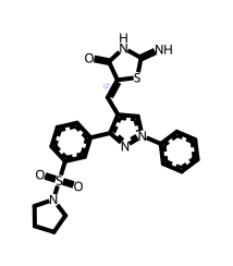 N=C1NC(=O)/C(=C/c2cn(-c3ccccc3)nc2-c2cccc(S(=O)(=O)N3CCCC3)c2)S1